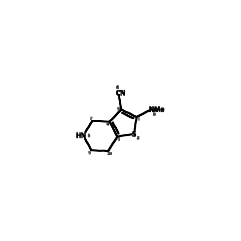 CNc1sc2c(c1C#N)CNCC2